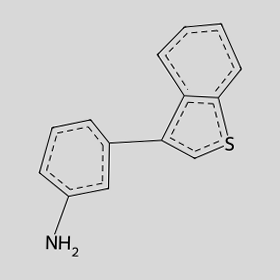 Nc1cccc(-c2csc3ccccc23)c1